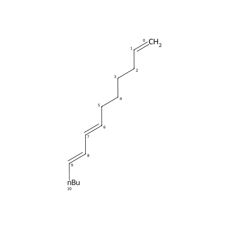 C=CCCCCC=CC=CCCCC